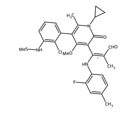 COc1c(-c2cccc(NSC)c2Cl)c(C)n(C2CC2)c(=O)c1/C(Nc1ccc(C)cc1F)=C(/C)C=O